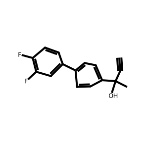 C#CC(C)(O)c1ccc(-c2ccc(F)c(F)c2)cc1